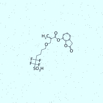 C=C(COCCCCC(F)(F)C(F)(F)S(=O)(=O)O)C(=O)Oc1cccc2c1OC(=O)C2